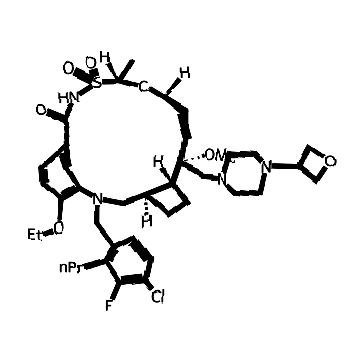 CCCc1c(CN2C[C@@H]3CC[C@H]3[C@@](CN3CCN(C4COC4)CC3)(OC)C3=C[C@@H](C3)C[C@@H](C)S(=O)(=O)NC(=O)c3ccc(OCC)c2c3)ccc(Cl)c1F